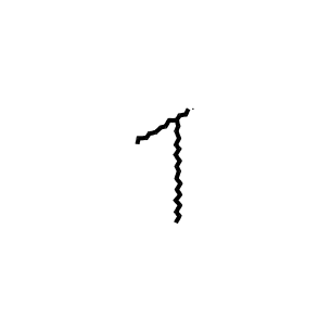 [CH2]CCC(CCCCCCCC)CCCCCCCCCCCCCCCCCC